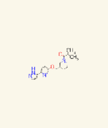 CC(C)C(=O)N1CCC[C@H](COc2ccc(-c3ccn[nH]3)nc2)C1